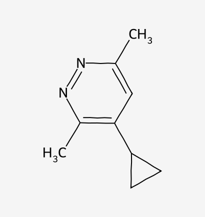 Cc1cc(C2CC2)c(C)nn1